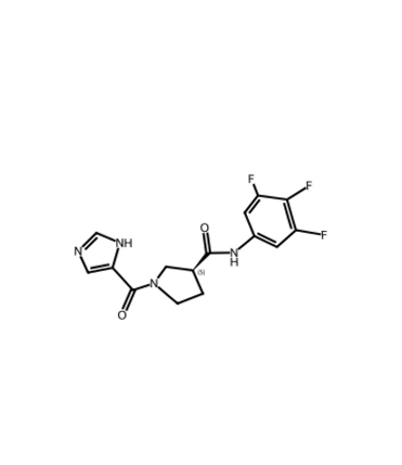 O=C(Nc1cc(F)c(F)c(F)c1)[C@H]1CCN(C(=O)c2cnc[nH]2)C1